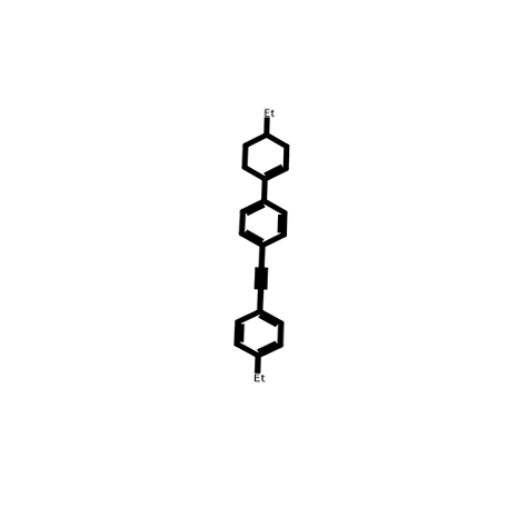 CCc1ccc(C#Cc2ccc(C3=CCC(CC)CC3)cc2)cc1